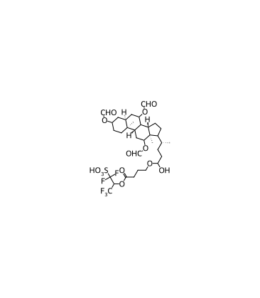 C[C@H](CCC(O)OCCCC(=O)OC(C(F)(F)F)C(F)(F)S(=O)(=O)O)C1CC[C@H]2C3C(OC=O)C[C@@H]4CC(OC=O)CC[C@]4(C)[C@H]3CC(OC=O)[C@]12C